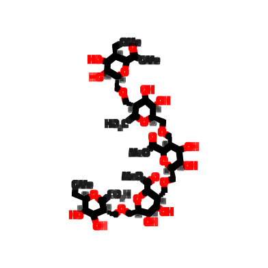 COC[C@H]1C(C(=O)OC)O[C@H](COC[C@H]2C(C(=O)O)O[C@H](COC[C@H]3C(C(=O)OC)O[C@H](COC[C@H]4C(C(=O)OC)O[C@H](COC[C@H]5C(C(=O)O)O[C@H](COC)[C@@H](O)C5O)[C@@H](O)C4O)[C@@H](O)C3O)[C@@H](O)C2O)[C@@H](O)C1O